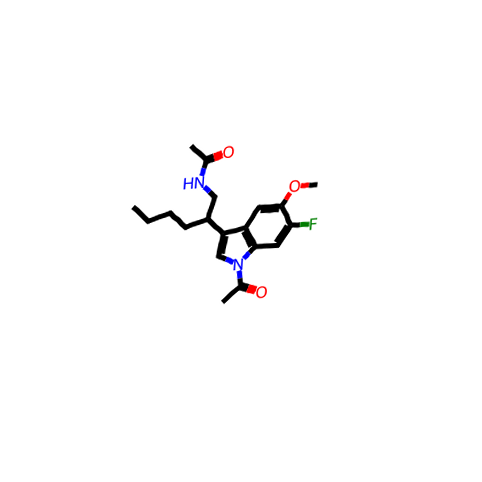 CCCCC(CNC(C)=O)c1cn(C(C)=O)c2cc(F)c(OC)cc12